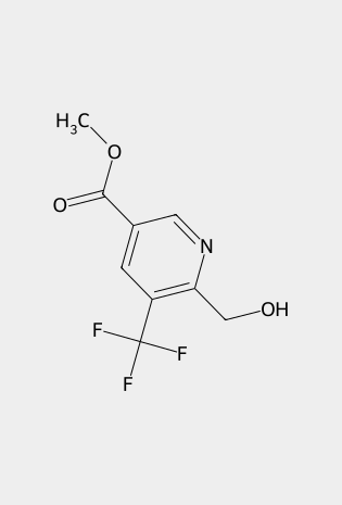 COC(=O)c1cnc(CO)c(C(F)(F)F)c1